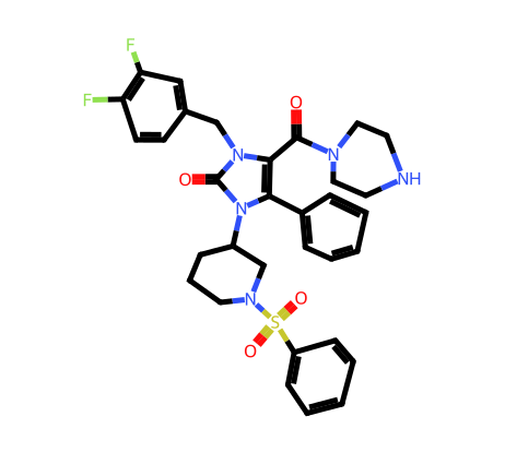 O=C(c1c(-c2ccccc2)n(C2CCCN(S(=O)(=O)c3ccccc3)C2)c(=O)n1Cc1ccc(F)c(F)c1)N1CCNCC1